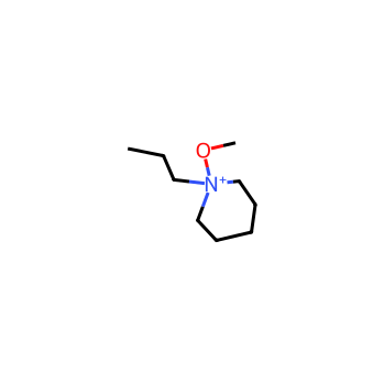 CCC[N+]1(OC)CCCCC1